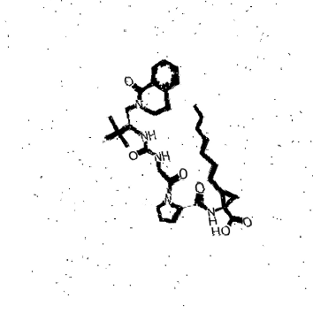 CCCCCCCC1C[C@]1(NC(=O)[C@@H]1CCCN1C(=O)CNC(=O)N[C@H](CN1CCc2ccccc2C1=O)C(C)(C)C)C(=O)O